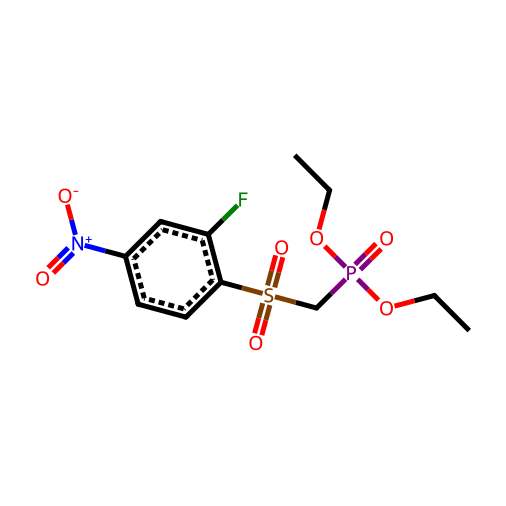 CCOP(=O)(CS(=O)(=O)c1ccc([N+](=O)[O-])cc1F)OCC